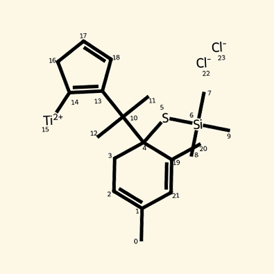 CC1=CCC(S[Si](C)(C)C)(C(C)(C)C2=[C]([Ti+2])CC=C2)C(C)=C1.[Cl-].[Cl-]